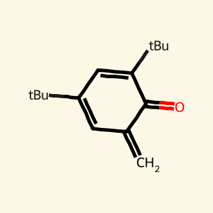 C=C1C=C(C(C)(C)C)C=C(C(C)(C)C)C1=O